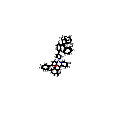 CC1(C)CCC(C)(C)c2cc(-c3ccccc3N(c3ccc(-c4ccccc4)cc3)c3ccc(-c4cccc5c4-c4ccccc4C54C5CC6CC7CC4C75C6)cc3)ccc21